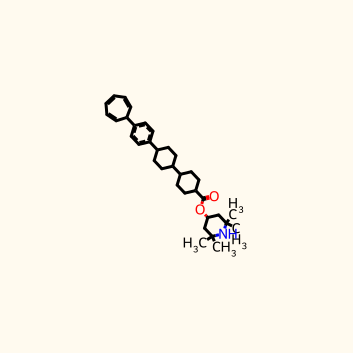 CC1(C)CC(OC(=O)C2CCC(C3CCC(c4ccc(C5C=CC=CC=C5)cc4)CC3)CC2)CC(C)(C)N1